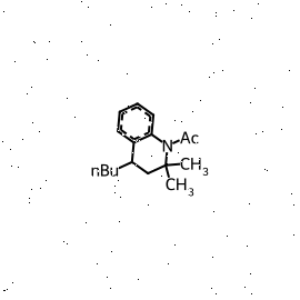 CCCCC1CC(C)(C)N(C(C)=O)c2ccccc21